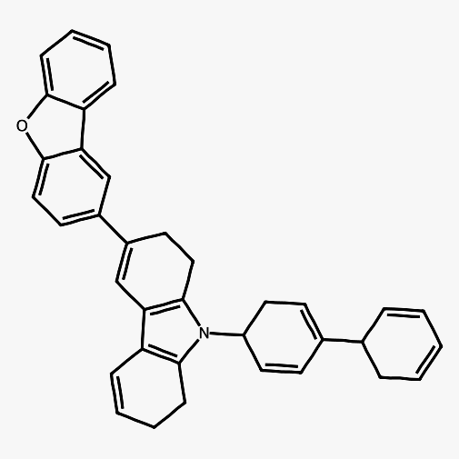 C1=CCC(C2=CCC(n3c4c(c5c3CCC(c3ccc6oc7ccccc7c6c3)=C5)C=CCC4)C=C2)C=C1